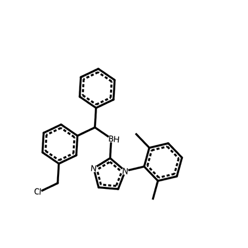 Cc1cccc(C)c1-n1ccnc1BC(c1ccccc1)c1cccc(CCl)c1